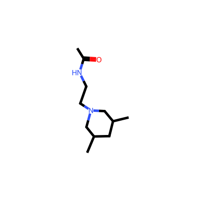 CC(=O)NCCN1CC(C)CC(C)C1